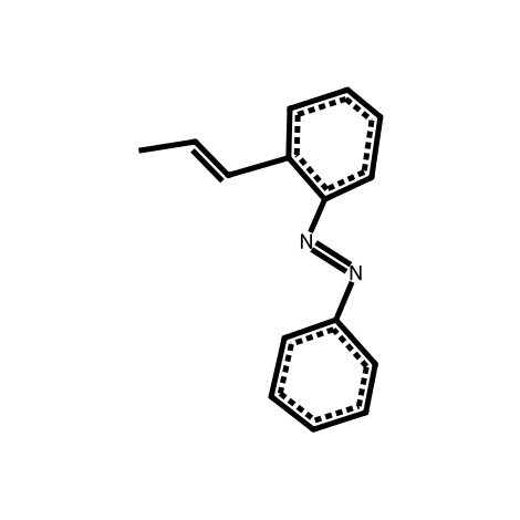 CC=Cc1ccccc1N=Nc1ccccc1